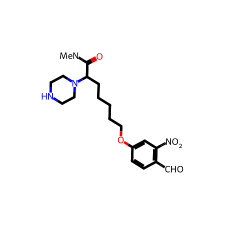 CNC(=O)C(CCCCCOc1ccc(C=O)c([N+](=O)[O-])c1)N1CCNCC1